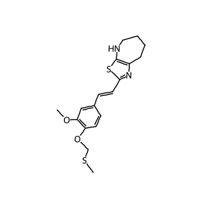 COc1cc(C=Cc2nc3c(s2)NCCCC3)ccc1OCSC